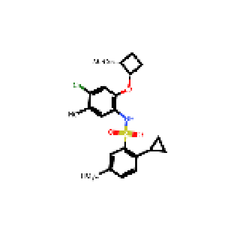 CO[C@@H]1CC[C@H]1Oc1cc(Cl)c(C#N)cc1NS(=O)(=O)c1cc(C(=O)O)ccc1C1CC1